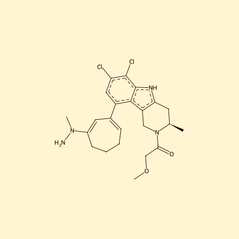 COCC(=O)N1Cc2c([nH]c3c(Cl)c(Cl)cc(C4=CCCCC(N(C)N)=C4)c23)C[C@H]1C